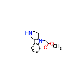 COC(=O)Cn1c2c(c3ccccc31)CNCC2